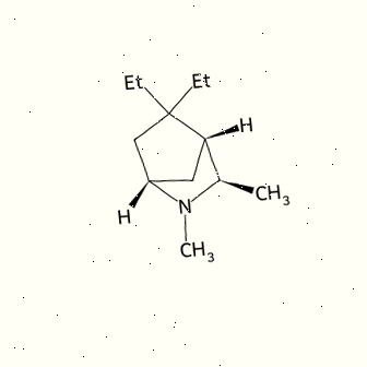 CCC1(CC)C[C@@H]2C[C@H]1[C@@H](C)N2C